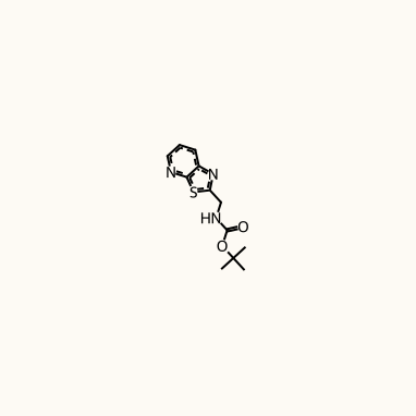 CC(C)(C)OC(=O)NCc1nc2cccnc2s1